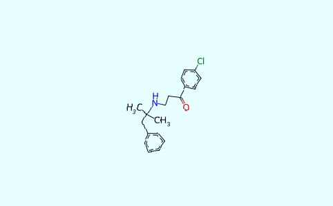 CC(C)(Cc1ccccc1)NCCC(=O)c1ccc(Cl)cc1